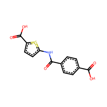 O=C(O)c1ccc(C(=O)Nc2ccc(C(=O)O)s2)cc1